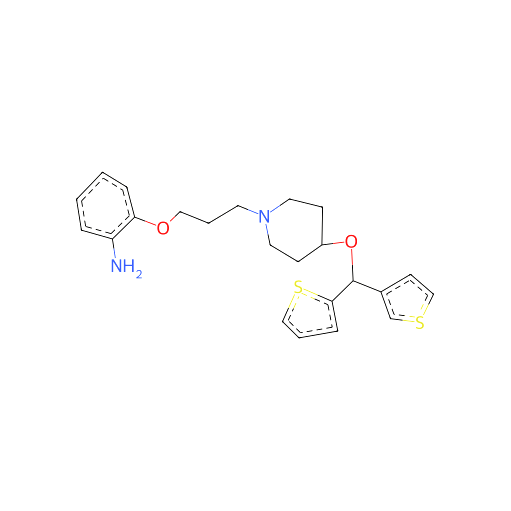 Nc1ccccc1OCCCN1CCC(OC(c2ccsc2)c2cccs2)CC1